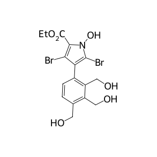 CCOC(=O)c1c(Br)c(-c2ccc(CO)c(CO)c2CO)c(Br)n1O